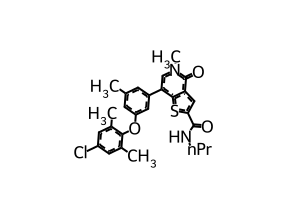 CCCNC(=O)c1cc2c(=O)n(C)cc(-c3cc(C)cc(Oc4c(C)cc(Cl)cc4C)c3)c2s1